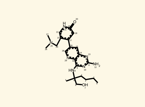 CCCCC(C)(CO)Nc1nc(N)nc2cc(-c3cc(=O)[nH]cc3CN(C)C)cnc12